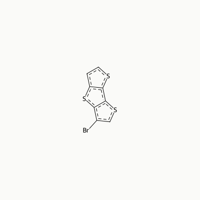 Brc1csc2c1sc1ccsc12